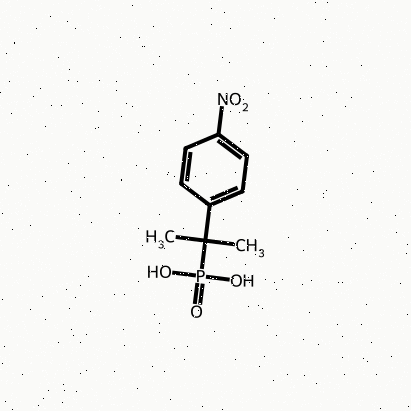 CC(C)(c1ccc([N+](=O)[O-])cc1)P(=O)(O)O